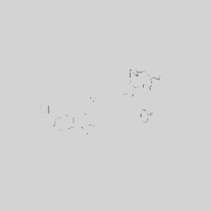 C[C@]1(C=O)C[C@@H](n2c(=O)cnc3cc(OCCN4CCC5(CC4)C(=O)Nc4ccc(Cl)cc45)cnc32)C1